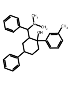 Cc1cccc(C2(O)CCC(c3ccccc3)CC2C(c2ccccc2)N(C)C)c1